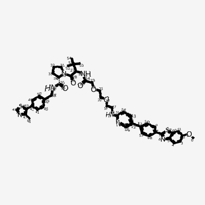 COc1ccc2nc(-c3ccc(-c4ccc(NCCOCCOCC(=O)NC(C(=O)N5CCC[C@H]5C(=O)NCc5ccc(-c6scnc6C)cc5)C(C)(C)C)nc4)cc3)sc2c1